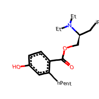 CCCCCc1cc(O)ccc1C(=O)OC[C@H](CC(C)C)N(CC)CC